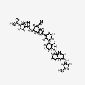 Cc1c(Nc2nccc3cc(CN4CCC(O)C4)cnc23)cccc1-c1cccc(-c2nc3cc(CNC45CCC(C(=O)O)(CC4)C5)cc(C#N)c3o2)c1C